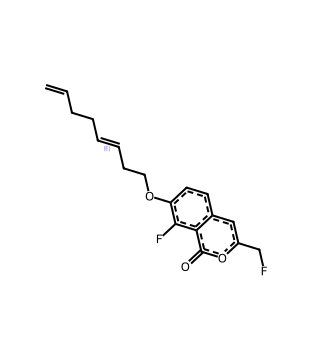 C=CCC/C=C/CCOc1ccc2cc(CF)oc(=O)c2c1F